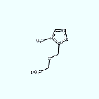 CCOC(=O)COCc1nn[c]n1C